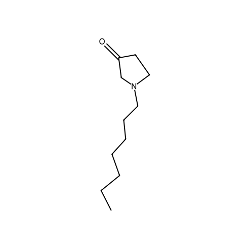 CCCCCCCN1CCC(=O)C1